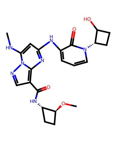 CNc1cc(Nc2cccn([C@H]3CCC3O)c2=O)nc2c(C(=O)N[C@H]3CC[C@@H]3OC)cnn12